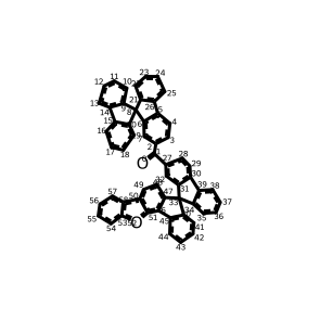 O=C(c1ccc2c(c1)C1(c3ccccc3-c3ccccc31)c1ccccc1-2)c1ccc2c(c1)C1(c3ccccc3-2)c2ccccc2-c2c1ccc1c2oc2ccccc21